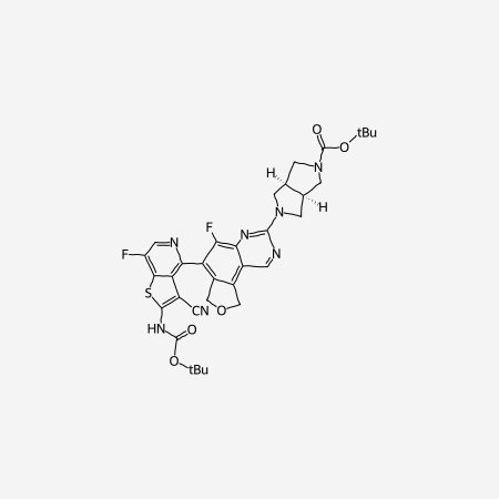 CC(C)(C)OC(=O)Nc1sc2c(F)cnc(-c3c4c(c5cnc(N6C[C@H]7CN(C(=O)OC(C)(C)C)C[C@H]7C6)nc5c3F)COC4)c2c1C#N